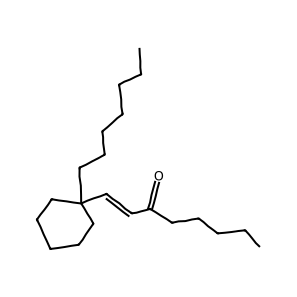 CCCCCCCC1(C=CC(=O)CCCCC)CCCCC1